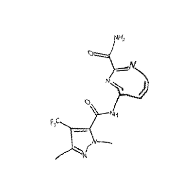 Cc1nn(C)c(C(=O)Nc2ccnc(C(N)=O)n2)c1C(F)(F)F